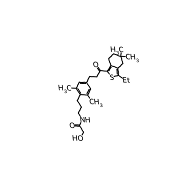 CCc1sc(C(=O)CCc2cc(C)c(CCCNC(=O)CO)c(C)c2)c2c1CC(C)(C)CC2